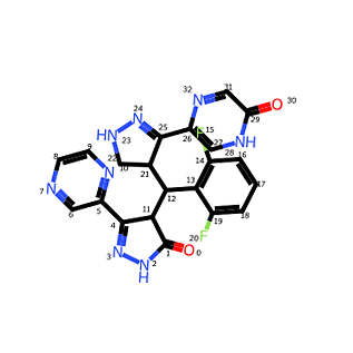 O=C1NN=C(c2cnccn2)C1C(c1c(F)cccc1F)C1CNN=C1c1c[nH]c(=O)cn1